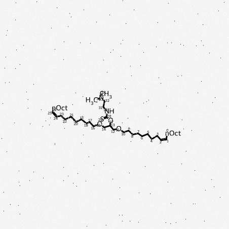 CCCCCCCC/C=C\CCCCCCCCOCC(COCCCCCCCC/C=C\CCCCCCCC)OC(=S)NCCN(C)C